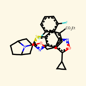 CCOC(=O)c1ccc2nc(N3C4CCC3CC(OCc3c(-c5c(F)cccc5F)noc3C3CC3)C4)sc2c1